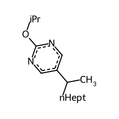 CCCCCCCC(C)c1cnc(OC(C)C)nc1